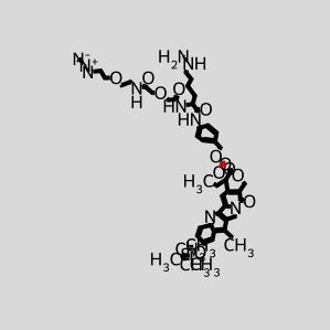 CCc1c2c(nc3ccc(O[Si](C)(C)C(C)(C)C)cc13)-c1cc3c(c(=O)n1C2)COC(=O)C3(CC)OC(=O)OCc1ccc(NC(=O)C(CCCCNN)NC(=O)COCC(=O)NCCOCCN=[N+]=[N-])cc1